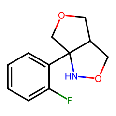 Fc1ccccc1C12COCC1CON2